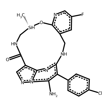 C[Si@H]1CNC(=O)c2cnn3c(N)c(-c4ccc(Cl)cc4)c(nc23)NCc2cc(F)cnc2O1